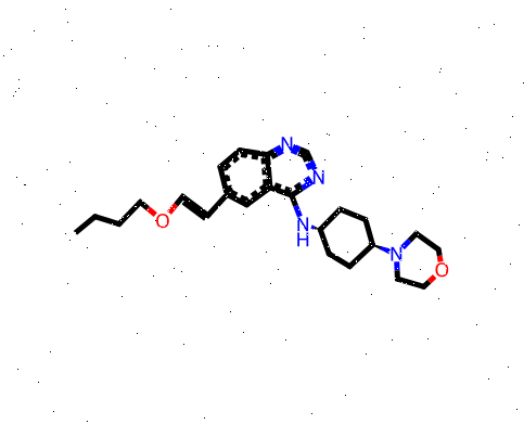 CCCCO/C=C/c1ccc2ncnc(N[C@H]3CC[C@H](N4CCOCC4)CC3)c2c1